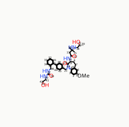 COc1ccc2c(c1)CC[C@@H](NC(=O)CC(C)(C)NC[C@@H](C)O)C(=O)N2Cc1ccc(-c2ccccc2CNC(=O)NCCO)cc1